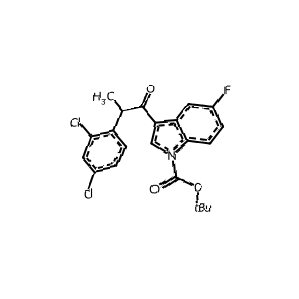 CC(C(=O)c1cn(C(=O)OC(C)(C)C)c2ccc(F)cc12)c1ccc(Cl)cc1Cl